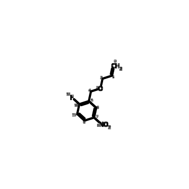 C=CCOCc1cc([N+](=O)[O-])ccc1F